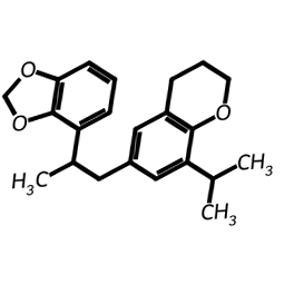 CC(C)c1cc(CC(C)c2cccc3c2OCO3)cc2c1OCCC2